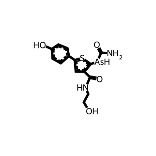 NC(=O)[AsH]c1sc(-c2ccc(O)cc2)cc1C(=O)NCCO